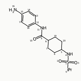 CC(C)S(=O)(=O)NC1CCC(C(=O)Nc2ccc(N)cc2)CC1